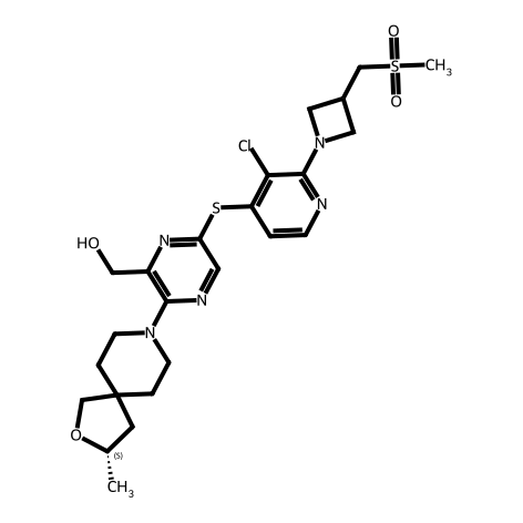 C[C@H]1CC2(CCN(c3ncc(Sc4ccnc(N5CC(CS(C)(=O)=O)C5)c4Cl)nc3CO)CC2)CO1